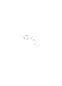 O=C(Nc1nc(-c2ccc(F)cc2)cs1)N1CCSCC1